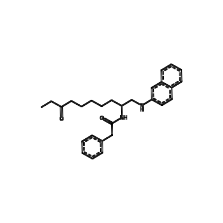 CCC(=O)CCCCCC(CNc1ccc2ccccc2c1)NC(=O)Cc1ccccc1